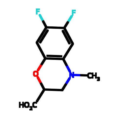 CN1CC(C(=O)O)Oc2cc(F)c(F)cc21